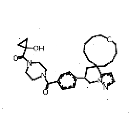 O=C(c1ccc(C2Cn3nccc3C3(CCCCCCCCCC3)C2)cc1)N1CCN(C(=O)C2(O)CC2)CC1